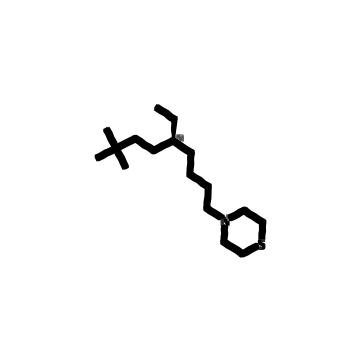 CC[C@@H](CCCCN1CCSCC1)CCC(C)(C)C